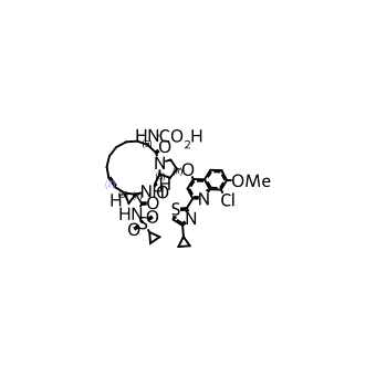 COc1ccc2c(O[C@@H]3C[C@H]4C(=O)N[C@]5(C(=O)NS(=O)(=O)C6CC6)C[C@H]5/C=C\CCCCC[C@H](NC(=O)O)C(=O)N4C3)cc(-c3nc(C4CC4)cs3)nc2c1Cl